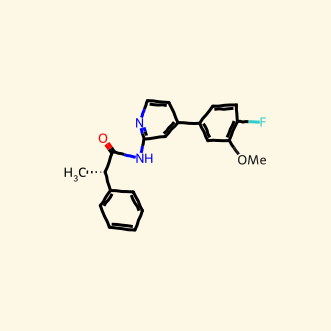 COc1cc(-c2ccnc(NC(=O)[C@@H](C)c3ccccc3)c2)ccc1F